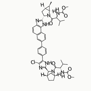 COC(=O)N[C@H](C(=O)N1[C@@H]2CC[C@@H](C2)[C@H]1c1nc(Cl)c(-c2ccc(-c3ccc4c(ccc5nc([C@@H]6C[C@H]7[C@@H](C)[C@H]7N6C(=O)[C@@H](NC(=O)OC)C(C)C)[nH]c54)c3)cc2)[nH]1)C(C)C